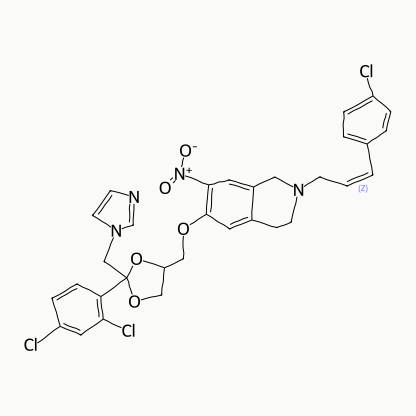 O=[N+]([O-])c1cc2c(cc1OCC1COC(Cn3ccnc3)(c3ccc(Cl)cc3Cl)O1)CCN(C/C=C\c1ccc(Cl)cc1)C2